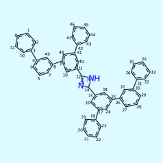 c1ccc(-c2cccc(-c3cc(C4=NC(c5cc(-c6ccccc6)cc(-c6cccc(-c7ccccc7)c6)c5)N4)cc(-c4ccccc4)c3)c2)cc1